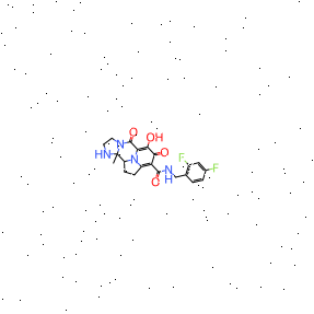 CC12NCCN1C(=O)c1c(O)c(=O)c(C(=O)NCc3ccc(F)cc3F)c3n1C2CC3